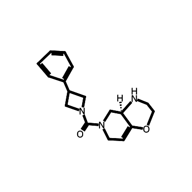 O=C(N1CC(c2ccccc2)C1)N1CC=C2OCCN[C@@H]2C1